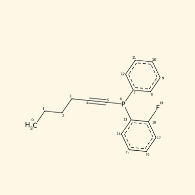 CCCCC#CP(c1ccccc1)c1ccccc1F